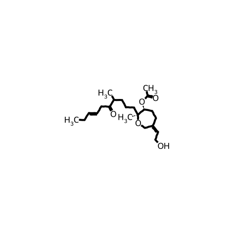 CCC=CCC(=O)C(C)CCC[C@]1(C)OCC(=CCO)CC[C@H]1OC(C)=O